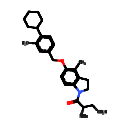 CN[C@H](CC(=O)O)C(=O)N1CCc2c1ccc(OCc1ccc(C3CCCCC3)c(C(F)(F)F)c1)c2C